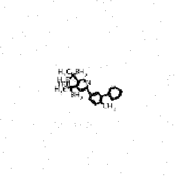 BC(B)(C)c1cnc(-c2ccc(C)c(-c3ccccc3)c2)cc1C(B)(B)C